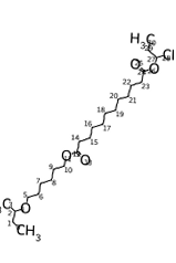 CCC(C)OCCCCCCOC(=O)CCCCCCCCCCC(=O)OC(C)CC